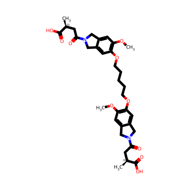 COc1cc2c(cc1OCCCCCOc1cc3c(cc1OC)CN(C(=O)C[C@H](C)C(=O)O)C3)CN(C(=O)C[C@H](C)C(=O)O)C2